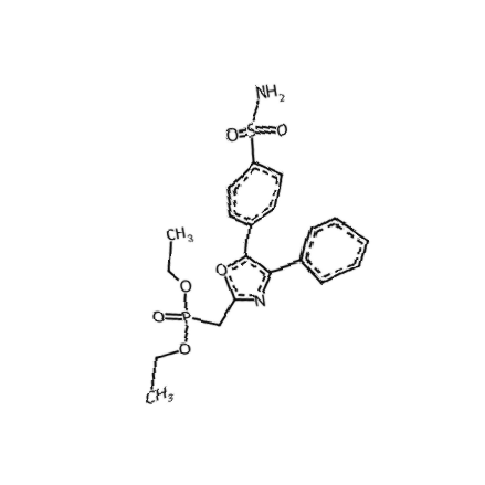 CCOP(=O)(Cc1nc(-c2ccccc2)c(-c2ccc(S(N)(=O)=O)cc2)o1)OCC